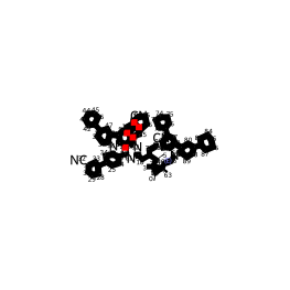 C[C@@H]1C(C)([C@@H](C)C(C=CC#N)Cc2nc(-c3ccc(C#N)cc3)nc(-c3ccc(-c4cccc(C#N)c4)cc3-n3c4ccc(-c5ccccc5)cc4c4cc(-c5ccccc5)ccc43)n2)[C@]1(C)/C=C/n1c2ccc(-c3ccccc3)cc2c2cc(-c3ccccc3)ccc21